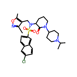 Cc1noc(C)c1CN(C1CCCN(C2CCN(C(C)C)CC2)C1=O)S(=O)(=O)c1ccc2cc(Cl)ccc2c1